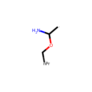 [CH2]C(N)OCCCC